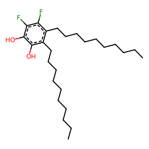 CCCCCCCCCCc1c(O)c(O)c(F)c(F)c1CCCCCCCCCC